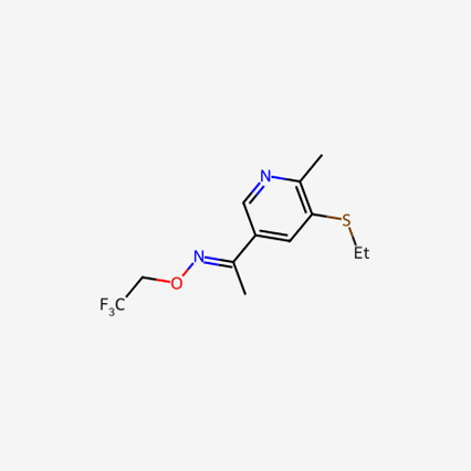 CCSc1cc(/C(C)=N/OCC(F)(F)F)cnc1C